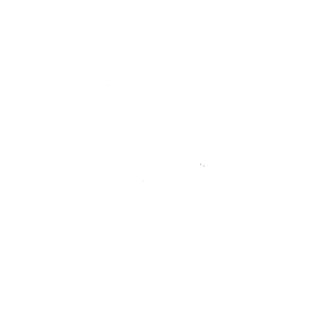 Cc1ccc2c(c1)C1=C(CC1)c1ccccc1NC2